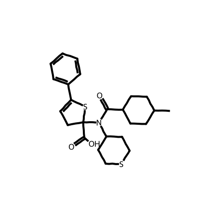 CC1CCC(C(=O)N(C2CCSCC2)C2(C(=O)O)CC=C(c3ccccc3)S2)CC1